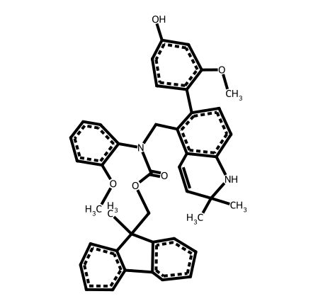 COc1cc(O)ccc1-c1ccc2c(c1CN(C(=O)OCC1(C)c3ccccc3-c3ccccc31)c1ccccc1OC)C=CC(C)(C)N2